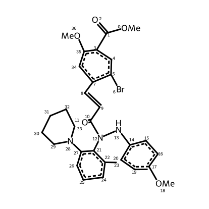 COC(=O)c1cc(Br)c(/C=C/C(=O)N(Nc2ccc(OC)cc2)c2c(C)cccc2N2CCCCC2)cc1OC